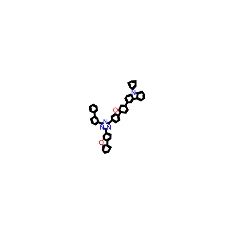 c1ccc(-c2cccc(-c3nc(-c4ccc5c(c4)oc4ccccc45)nc(-c4ccc5c(c4)oc4cc(-c6ccc7c(c6)c6ccccc6n7-c6ccccc6)ccc45)n3)c2)cc1